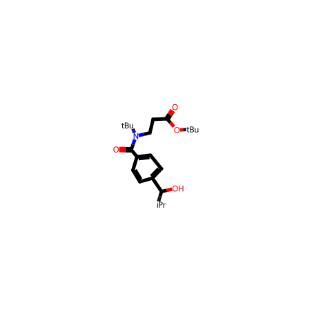 CC(C)C(O)c1ccc(C(=O)N(CCC(=O)OC(C)(C)C)C(C)(C)C)cc1